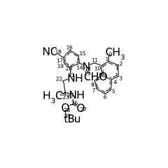 Cc1ccc2ccccc2c1CN(C=O)c1ccc(C#N)cc1NCC(C)NC(=O)OC(C)(C)C